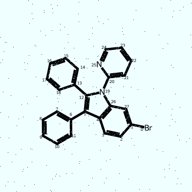 Brc1ccc2c(-c3ccccc3)c(-c3ccccc3)n(-c3ccccn3)c2c1